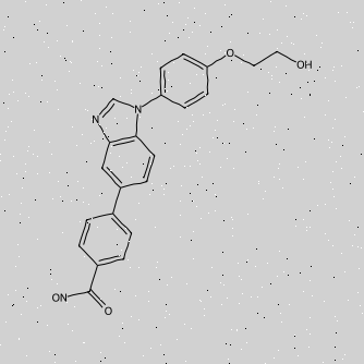 O=NC(=O)c1ccc(-c2ccc3c(c2)ncn3-c2ccc(OCCO)cc2)cc1